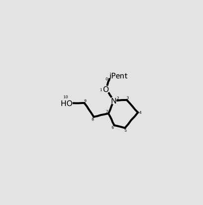 CCCC(C)ON1CCCCC1CCO